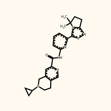 CC1(C)CCc2nnc(-c3cccc(NC(=O)c4cc5c(cn4)CCN(C4CC4)C5)n3)n21